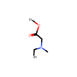 CCOC(=O)CN(C)CC(C)C